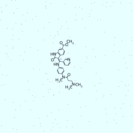 COC(=O)c1ccc2c(c1)NC(=O)/C2=C(\Nc1ccc(N(C)C(=O)CCN(C)C)cc1)c1cccnc1